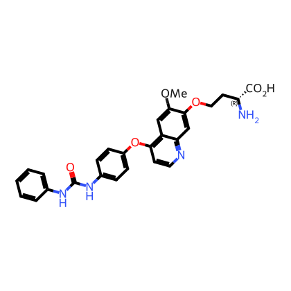 COc1cc2c(Oc3ccc(NC(=O)Nc4ccccc4)cc3)ccnc2cc1OCC[C@@H](N)C(=O)O